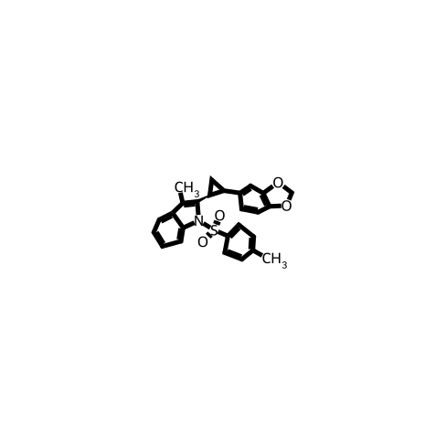 Cc1ccc(S(=O)(=O)n2c([C@H]3CC3c3ccc4c(c3)OCO4)c(C)c3ccccc32)cc1